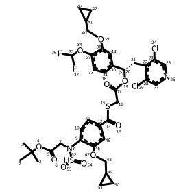 CC(C)(C)OC(=O)CN(c1ccc(C(=O)SCC(=O)O[C@@H](Cc2c(Cl)cncc2Cl)c2ccc(OC(F)F)c(OCC3CC3)c2)cc1OCC1CC1)[SH](=O)=O